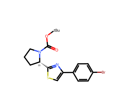 CC(C)(C)OC(=O)N1CCC[C@H]1c1nc(-c2ccc(Br)cc2)cs1